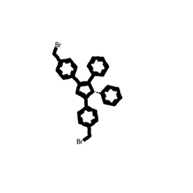 BrCc1ccc(C2=CC(c3ccc(CBr)cc3)=C(c3ccccc3)[C@@H]2c2ccccc2)cc1